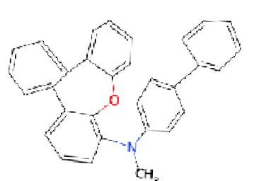 CN(c1ccc(-c2ccccc2)cc1)c1cccc2c1Oc1ccccc1-c1ccccc1-2